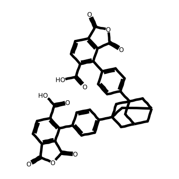 O=C1OC(=O)c2c1ccc(C(=O)O)c2-c1ccc(C23CC4CC(C2)CC(c2ccc(-c5c(C(=O)O)ccc6c5C(=O)OC6=O)cc2)(C4)C3)cc1